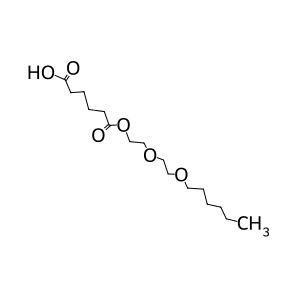 CCCCCCOCCOCCOC(=O)CCCCC(=O)O